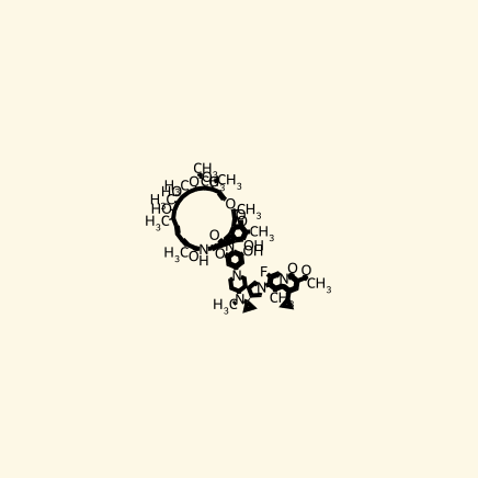 CO[C@H]1/C=C/O[C@@]2(C)Oc3c(C)c(O)c4c(=O)c(c5oc6cc(N7CCC(N(C)C8([C@@H]9CCN(c%10c(F)cn%11c(=O)c(C(C)=O)cc(C%12CC%12)c%11c%10C)C9)CC8)CC7)cc(O)c6nc-5c4c3C2=O)NC(=O)/C(C)=C\C=C\[C@H](C)[C@H](O)[C@@H](C)[C@@H](O)[C@@H](C)[C@H](OC(C)=O)[C@@H]1C